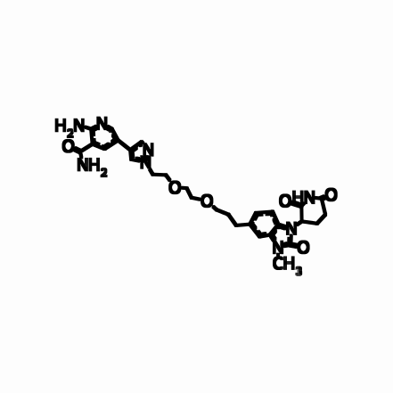 Cn1c(=O)n(C2CCC(=O)NC2=O)c2ccc(CCCOCCOCCn3cc(-c4cnc(N)c(C(N)=O)c4)cn3)cc21